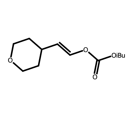 CC(C)COC(=O)OC=CC1CCOCC1